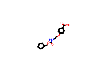 O=C(NCCOc1ccc(C(=O)O)cc1)OCc1ccccc1